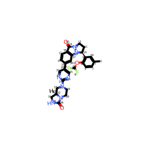 Cc1ccc(OC(F)F)c([C@@H]2CCn3c(=O)c4ccc(-c5cnc(N6CCN7C(=O)NC[C@H]7C6)nc5)cc4n32)c1